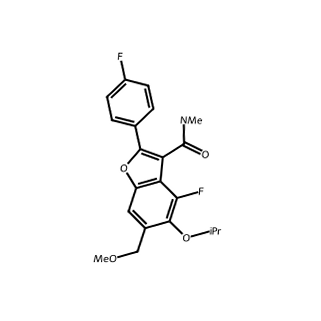 CNC(=O)c1c(-c2ccc(F)cc2)oc2cc(COC)c(OC(C)C)c(F)c12